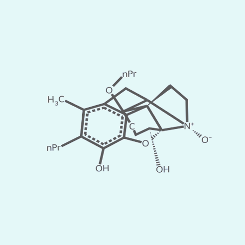 CCCOC12CC[C@H](O)[C@@]34Oc5c(O)c(CCC)c(C)c6c5[C@]13CC[N@+]4([O-])C2C6